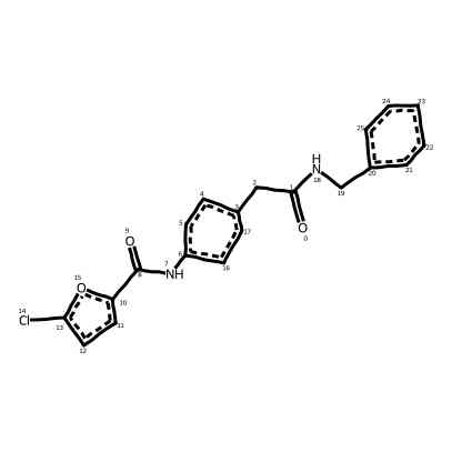 O=C(Cc1ccc(NC(=O)c2ccc(Cl)o2)cc1)NCc1ccccc1